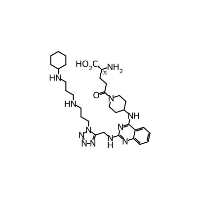 N[C@@H](CCC(=O)N1CCC(Nc2nc(NCc3nnnn3CCCNCCCNC3CCCCC3)nc3ccccc23)CC1)C(=O)O